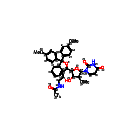 COc1ccc(C(OC(CCCNC(=O)C(F)(F)F)[C@H]2O[C@@H](n3ccc(=O)[nH]c3=O)C(OC)C2O)(c2ccccc2)c2ccc(OC)cc2)cc1